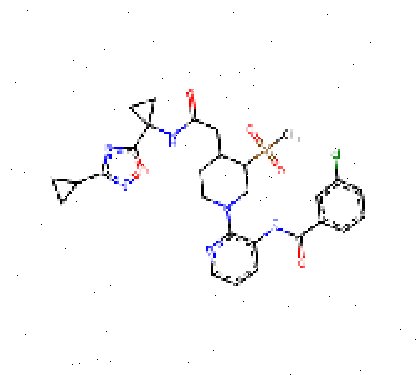 CS(=O)(=O)C1CN(c2ncccc2NC(=O)c2cccc(Cl)c2)CCC1CC(=O)NC1(c2nc(C3CC3)no2)CC1